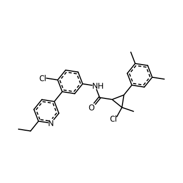 CCc1ccc(-c2cc(NC(=O)C3C(c4cc(C)cc(C)c4)C3(C)Cl)ccc2Cl)cn1